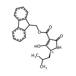 CC(C)C[C@@H]1NC(=O)C(C(=O)OCC2c3ccccc3-c3ccccc32)=C1O